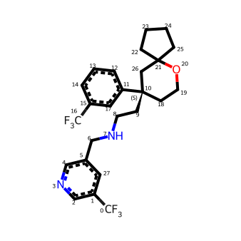 FC(F)(F)c1cncc(CNCC[C@]2(c3cccc(C(F)(F)F)c3)CCOC3(CCCC3)C2)c1